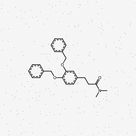 CN(C)C(=O)CCc1ccc(OCc2ccccc2)c(OCc2ccccc2)c1